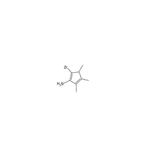 CC1=C(C)C(C)[C]([Zr])=C1[SiH3]